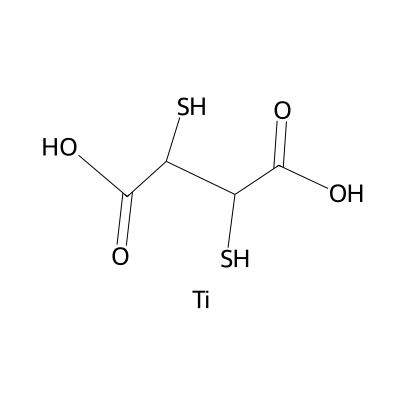 O=C(O)C(S)C(S)C(=O)O.[Ti]